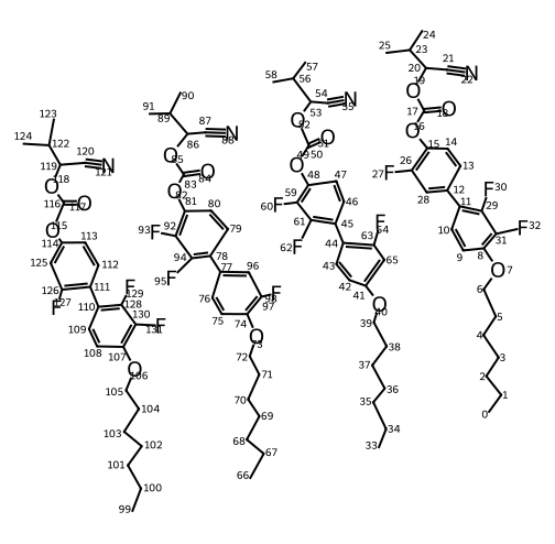 CCCCCCCOc1ccc(-c2ccc(OC(=O)OC(C#N)C(C)C)c(F)c2)c(F)c1F.CCCCCCCOc1ccc(-c2ccc(OC(=O)OC(C#N)C(C)C)c(F)c2F)c(F)c1.CCCCCCCOc1ccc(-c2ccc(OC(=O)OC(C#N)C(C)C)c(F)c2F)cc1F.CCCCCCCOc1ccc(-c2ccc(OC(=O)OC(C#N)C(C)C)cc2F)c(F)c1F